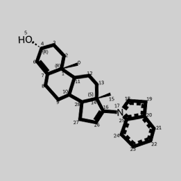 C[C@]12CC[C@@H](O)C=C1CCC1C2CC[C@]2(C)C(n3ccc4ccccc43)=CCC12